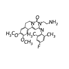 COc1cc2c(cc1OC)-c1c/c(=N\c3c(C)cc(F)cc3C)n(CCN)c(=O)n1CC2